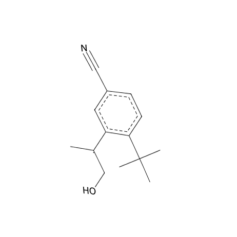 C[C](CO)c1cc(C#N)ccc1C(C)(C)C